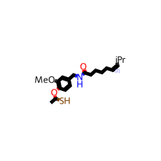 COc1cc(CNC(=O)CCCC/C=C\C(C)C)ccc1OC(C)S